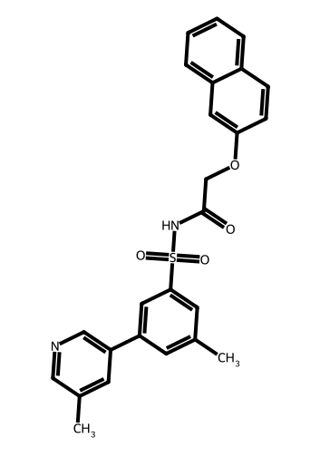 Cc1cncc(-c2cc(C)cc(S(=O)(=O)NC(=O)COc3ccc4ccccc4c3)c2)c1